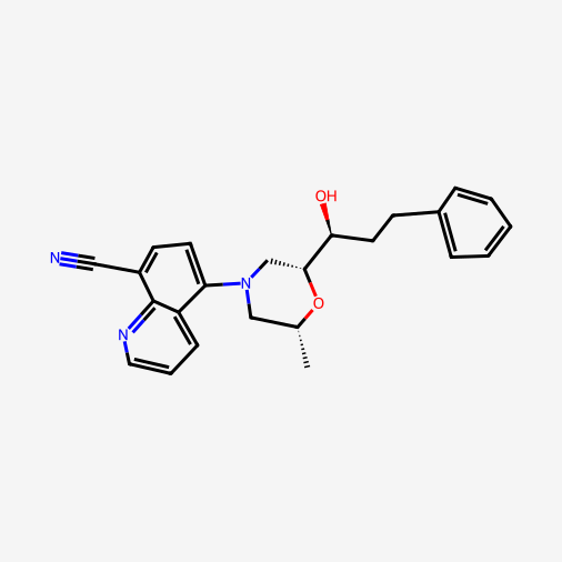 C[C@@H]1CN(c2ccc(C#N)c3ncccc23)C[C@H]([C@@H](O)CCc2ccccc2)O1